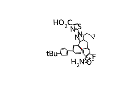 CC(C)(C)c1ccc(-c2cccc(-c3nn(-c4nc(C(=O)O)cs4)c(CC4CC4)c3Cc3ccc([S+](N)[O-])c(F)c3)c2)cc1